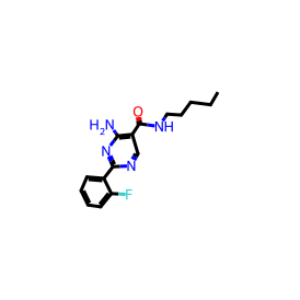 CCCCCNC(=O)c1cnc(-c2ccccc2F)nc1N